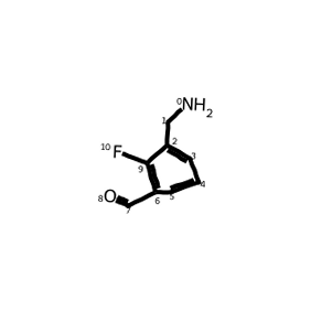 NCc1cccc(C=O)c1F